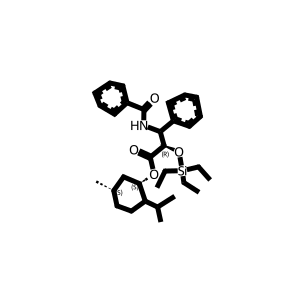 CC[Si](CC)(CC)O[C@@H](C(=O)O[C@H]1C[C@@H](C)CCC1C(C)C)C(NC(=O)c1ccccc1)c1ccccc1